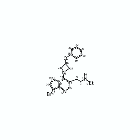 CCNCCc1cnc2c(Br)cnn2c1N1CC(Oc2ccccc2)C1